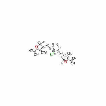 CC1(C)OC(=C(C#N)C#N)C(C#N)=C1/C=C/C1=C(Cl)C(=C/C=C2/C(C#N)=C(C(C#N)C#N)OC2(C)C)/CCC1